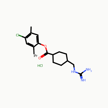 Cc1cc(OC(=O)C2CCC(CNC(=N)N)CC2)c(C(C)C)cc1Cl.Cl